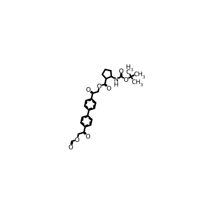 CC(C)(C)OC(=O)NC1CCCC1C(=O)OCC(=O)c1ccc(-c2ccc(C(=O)COC=O)cc2)cc1